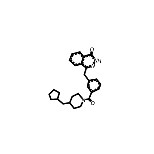 O=C(c1cccc(Cc2n[nH]c(=O)c3ccccc23)c1)N1CCC(CC2CCCC2)CC1